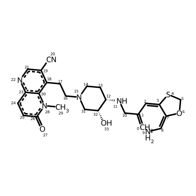 C=C(/C=C1/SCO/C1=C/N)CN[C@H]1CCN(CCc2c(C#N)cnc3ccc(=O)n(C)c23)C[C@H]1O